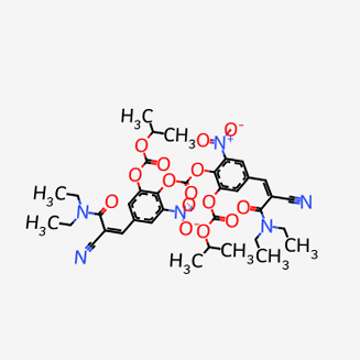 CCN(CC)C(=O)C(C#N)=Cc1cc(OC(=O)OC(C)C)c(OC(=O)Oc2c(OC(=O)OC(C)C)cc(C=C(C#N)C(=O)N(CC)CC)cc2[N+](=O)[O-])c([N+](=O)[O-])c1